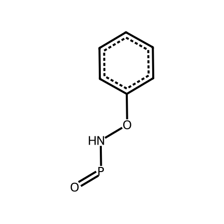 O=PNOc1ccccc1